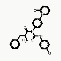 NC(Cc1ccccc1)C(=O)N(C(=O)Nc1ccc(Cl)cc1)c1ccc(-n2ccccc2=O)cc1